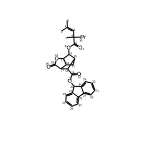 CC(C)=CC(C)(C(=O)OC1C2CC3C1OC(=O)C3C2C(=O)OC1c2ccccc2-c2ccccc21)C(C)C